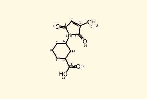 CC1=CC(=O)N(C2CCCC(C(=O)O)C2)C1=O